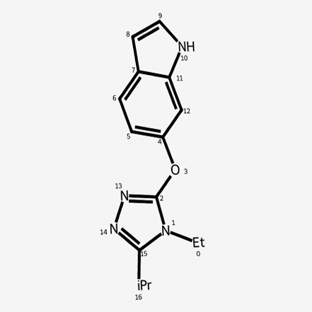 CCn1c(Oc2ccc3cc[nH]c3c2)nnc1C(C)C